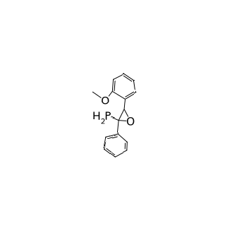 COc1ccccc1C1OC1(P)c1ccccc1